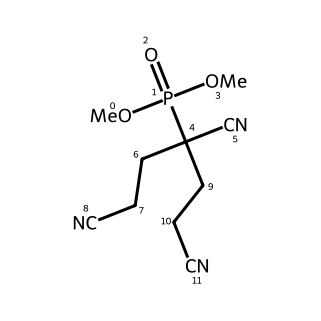 COP(=O)(OC)C(C#N)(CCC#N)CCC#N